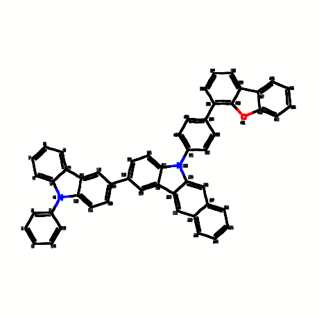 c1ccc(-n2c3ccccc3c3cc(-c4ccc5c(c4)c4cc6ccccc6cc4n5-c4ccc(-c5cccc6c5oc5ccccc56)cc4)ccc32)cc1